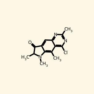 Cc1nc(Cl)c2c(C)c3c(cc2n1)C(=O)C(C)N3C